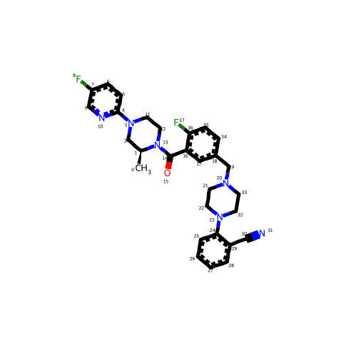 C[C@H]1CN(c2ccc(F)cn2)CCN1C(=O)c1cc(CN2CCN(c3ccccc3C#N)CC2)ccc1F